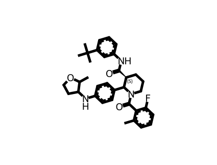 Cc1cccc(F)c1C(=O)N1CCC[C@H](C(=O)Nc2cccc(C(C)(C)C)c2)C1c1ccc(NC2CCOC2C)cc1